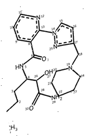 CCCCC(NC(=O)c1cccnc1-n1ccc(CN2CCCCC2)n1)C(O)C(N)=O